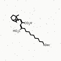 CCCCCCCCCCCCCCCCCCCC(=CC(=CC1CC2CCC1(C)C2(C)C)C(=O)O)C(=O)O